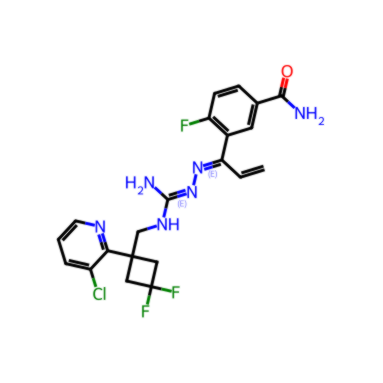 C=C/C(=N\N=C(/N)NCC1(c2ncccc2Cl)CC(F)(F)C1)c1cc(C(N)=O)ccc1F